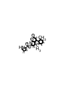 Cc1cccc(C)c1-c1cc(=O)oc2nc(OC(=O)[C@H]3CCCN3)ccc12